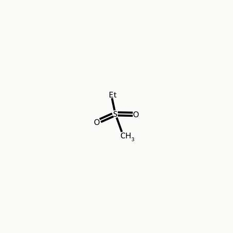 CCS(C)(=O)=O